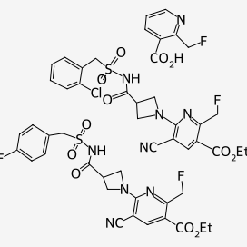 CCOC(=O)c1cc(C#N)c(N2CC(C(=O)NS(=O)(=O)Cc3ccc(F)cc3)C2)nc1CF.CCOC(=O)c1cc(C#N)c(N2CC(C(=O)NS(=O)(=O)Cc3ccccc3Cl)C2)nc1CF.O=C(O)c1cccnc1CF